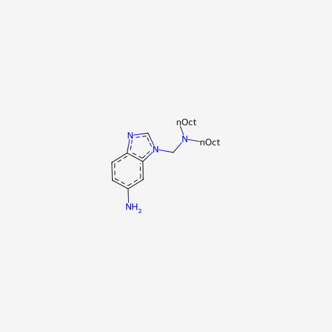 CCCCCCCCN(CCCCCCCC)Cn1cnc2ccc(N)cc21